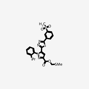 CSCOC(=O)c1cc(-c2nnc(-c3cccc(S(C)(=O)=O)c3)s2)n(-c2ccccc2C(C)C)n1